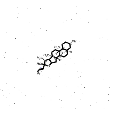 CC(C)/C=C/C1(O)OC2C[C@H]3[C@@H]4CC[C@@H]5C[C@@H](O)CC[C@]5(C)[C@H]4CC[C@@]3(C)C2[C@@H]1C